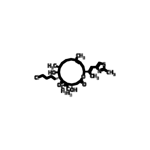 C/C1=C/C[C@@H](/C(C)=C/c2csc(C)n2)OC(=O)C[C@H](O)C(C)(C)C(=O)[C@H](CCCCCl)[C@@H](O)[C@@H](C)CCC1